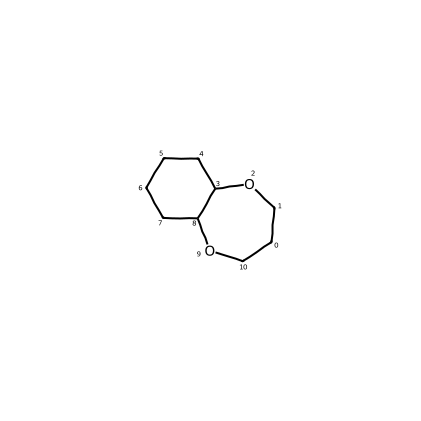 C1COC2CCCCC2OC1